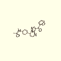 CC(=O)N(C)c1ccc(-c2ccnc3c(C(=O)c4ccco4)cnn23)cc1